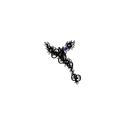 C=CC(=O)OCCCCCCOc1ccc(C(=O)Oc2ccc(OC(=O)c3ccc(CCC)cc3)c3nc(/C=C/c4ccc(C)cc4)sc23)cc1